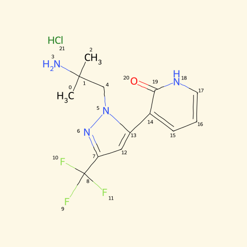 CC(C)(N)Cn1nc(C(F)(F)F)cc1-c1ccc[nH]c1=O.Cl